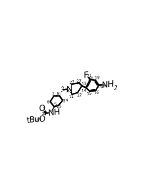 CC(C)(C)OC(=O)N[C@H]1CC[C@H](CN2CCC(c3ccc(N)cc3F)CC2)CC1